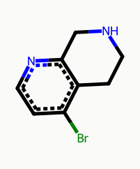 Brc1ccnc2c1CCNC2